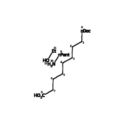 CCCCCCCCCCCCCCCCCC(=O)O.CCCCCN.CCO